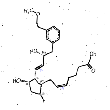 COCc1cccc(C[C@@H](O)/C=C/[C@@H]2[C@@H](C/C=C\CCCC(=O)O)[C@@H](F)C[C@H]2O)c1